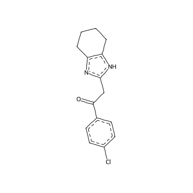 O=C(Cc1nc2c([nH]1)CCCC2)c1ccc(Cl)cc1